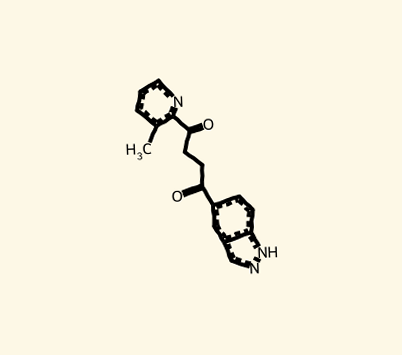 Cc1cccnc1C(=O)CCC(=O)c1ccc2[nH]ncc2c1